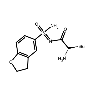 CC[C@H](C)[C@H](N)C(=O)N=S(N)(=O)c1ccc2c(c1)CCO2